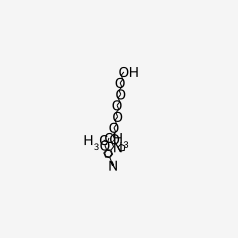 CC1(C)Oc2ccc(C#N)cc2[C@@H](N2CCCC2)[C@@H]1OCCOCCOCCOCCOCCOCCO